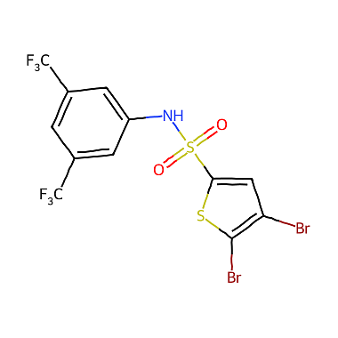 O=S(=O)(Nc1cc(C(F)(F)F)cc(C(F)(F)F)c1)c1cc(Br)c(Br)s1